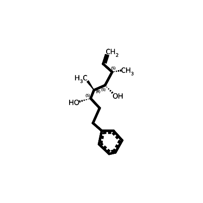 C=C[C@H](C)[C@H](O)[C@H](C)[C@@H](O)CCc1ccccc1